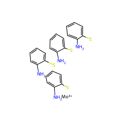 Nc1ccccc1[S-].Nc1ccccc1[S-].Nc1ccccc1[S-].Nc1ccccc1[S-].[Mo+4]